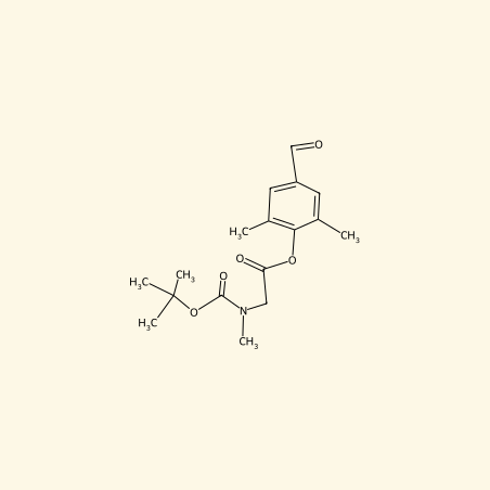 Cc1cc(C=O)cc(C)c1OC(=O)CN(C)C(=O)OC(C)(C)C